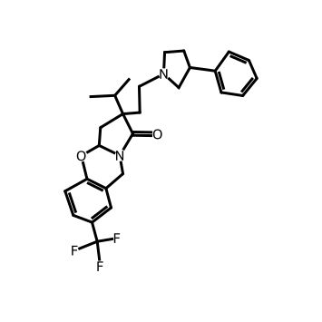 CC(C)C1(CCN2CCC(c3ccccc3)C2)CC2Oc3ccc(C(F)(F)F)cc3CN2C1=O